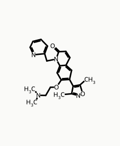 Cc1noc(C)c1-c1cc2ccc(=O)n(Cc3ccccn3)c2cc1OCCN(C)C